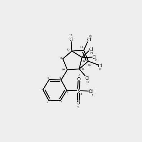 O=S(=O)(O)c1ccccc1C1CC2(Cl)C(Cl)=C(Cl)C1(Cl)C2(Cl)Cl